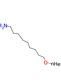 CCCCCCOCCCCCCCCCN